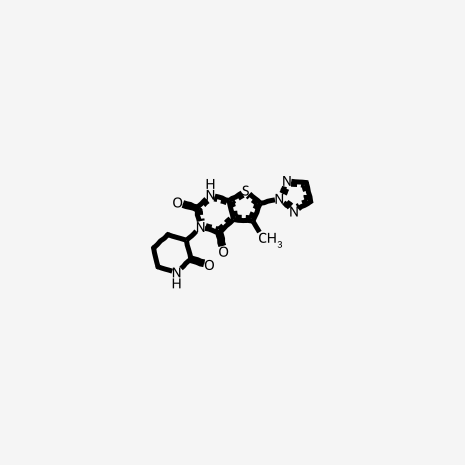 Cc1c(-n2nccn2)sc2[nH]c(=O)n(C3CCCNC3=O)c(=O)c12